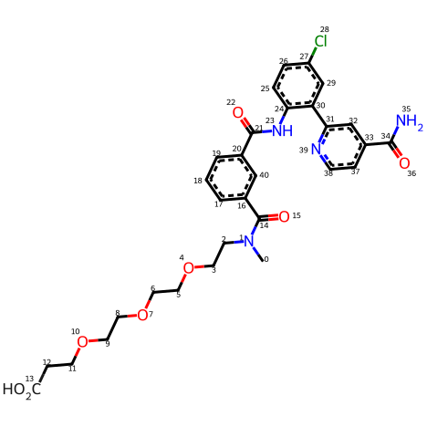 CN(CCOCCOCCOCCC(=O)O)C(=O)c1cccc(C(=O)Nc2ccc(Cl)cc2-c2cc(C(N)=O)ccn2)c1